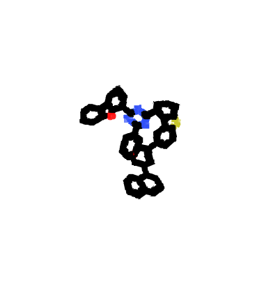 C1=Cc2ccccc2C(C2=CCCC(c3ccc4sc5cccc(-c6nc(-c7ccccc7)nc(-c7cccc8c7oc7ccccc78)n6)c5c4c3)=C2)C1